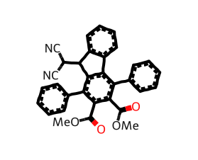 COC(=O)c1c(C(=O)OC)c(-c2ccccc2)c2c(c1-c1ccccc1)-c1ccccc1C2C(C#N)C#N